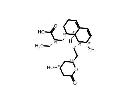 CC[C@@H](C[C@@H]1CCC=C2C=C[C@H](C)[C@H](CC[C@@H]3C[C@@H](O)CC(=O)O3)[C@H]21)C(=O)O